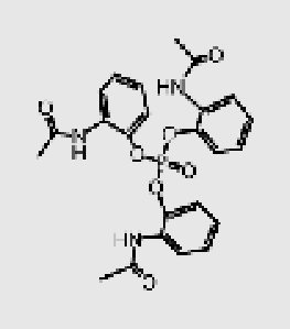 CC(=O)Nc1ccccc1OP(=O)(Oc1ccccc1NC(C)=O)Oc1ccccc1NC(C)=O